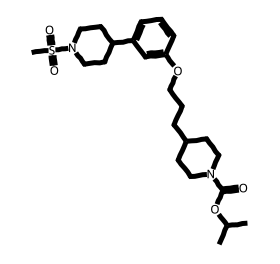 CC(C)OC(=O)N1CCC(CCCOc2cccc(C3CCN(S(C)(=O)=O)CC3)c2)CC1